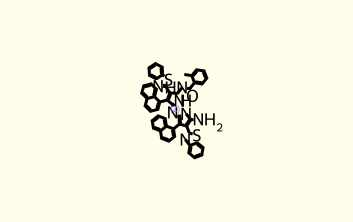 Cc1ccccc1C(=O)NC1=N/C(=N\c2[nH]c(N)c(-c3nc4ccccc4s3)c2-c2cccc3ccccc23)C(c2cccc3ccccc23)=C1c1nc2ccccc2s1